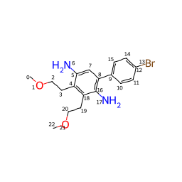 COCCc1c(N)cc(-c2ccc(Br)cc2)c(N)c1CCOC